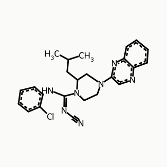 CC(C)CC1CN(c2cnc3ccccc3n2)CCN1/C(=N\C#N)Nc1ccccc1Cl